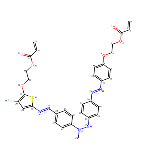 C=CC(=O)OCCOc1ccc(/N=N/c2ccc(NN(C)c3ccc(/N=N/c4cc(F)c(OCCOC(=O)C=C)s4)cc3)cc2)cc1